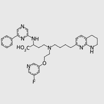 O=C(O)C(CCN(CCCCc1ccc2c(n1)NCCC2)CCOc1cncc(F)c1)Nc1cncc(-c2ccccc2)n1